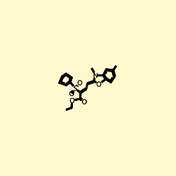 CCOC(=O)/C(=C/C=C1\Oc2ccc(C)cc2N1C)S(=O)(=O)c1ccccc1